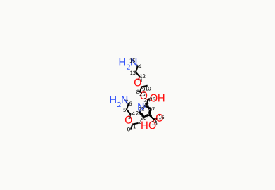 CC(C)OCCCN.CC(C)OCCCN.O=C(O)c1ccnc(C(=O)O)c1